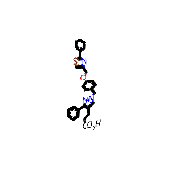 O=C(O)CCc1cn(Cc2ccc(OCc3csc(-c4ccccc4)n3)cc2)nc1-c1ccccc1